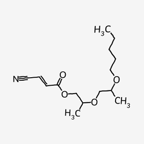 CCCCCOC(C)COC(C)COC(=O)C=CC#N